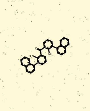 Nc1c(C(=O)c2cccc(-c3cccc4ccccc34)c2N)cccc1-c1cccc2ccccc12